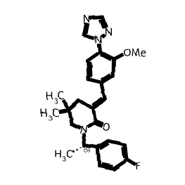 COc1cc(C=C2CC(C)(C)CN([C@@H](C)c3ccc(F)cc3)C2=O)ccc1-n1cncn1